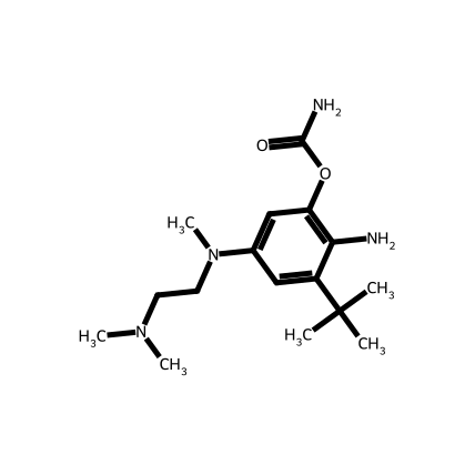 CN(C)CCN(C)c1cc(OC(N)=O)c(N)c(C(C)(C)C)c1